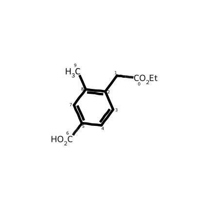 CCOC(=O)Cc1ccc(C(=O)O)cc1C